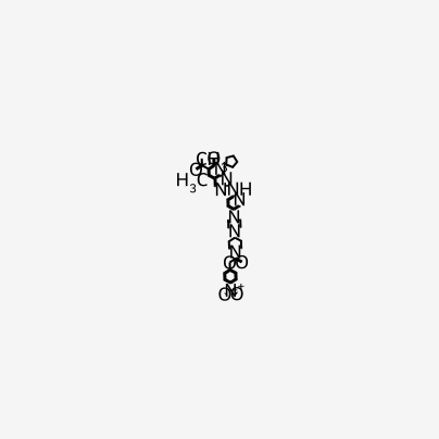 CC(=O)c1c(C)c2cnc(Nc3ccc(N4CCN(C5CCN(C(=O)Oc6ccc([N+](=O)[O-])cc6)CC5)CC4)cn3)nc2n(C2CCCC2)c1=O